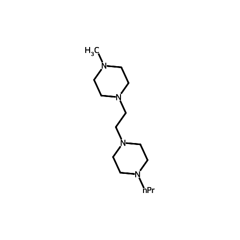 CCCN1CCN(CCN2CCN(C)CC2)CC1